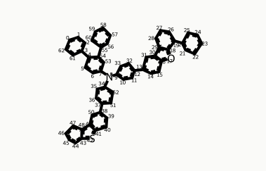 c1ccc(-c2ccc(N(c3ccc(-c4ccc5oc6c(-c7ccccc7)cccc6c5c4)cc3)c3ccc(-c4ccc5sc6ccccc6c5c4)cc3)cc2-c2ccccc2)cc1